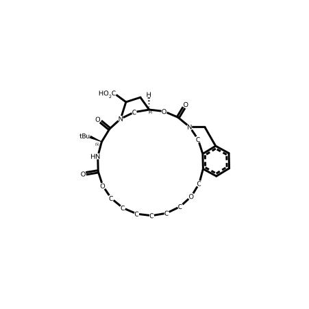 CC(C)(C)[C@@H]1NC(=O)OCCCCCCOCc2cccc3c2CN(C3)C(=O)O[C@@H]2CC(C(=O)O)N(C2)C1=O